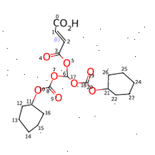 O=C(O)/C=C/C(=O)OC(OC(=O)OC1CCCCC1)OC(=O)OC1CCCCC1